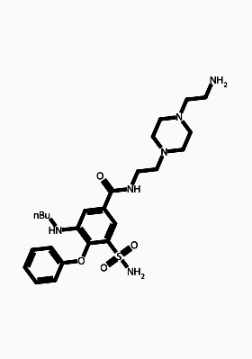 CCCCNc1cc(C(=O)NCCN2CCN(CCN)CC2)cc(S(N)(=O)=O)c1Oc1ccccc1